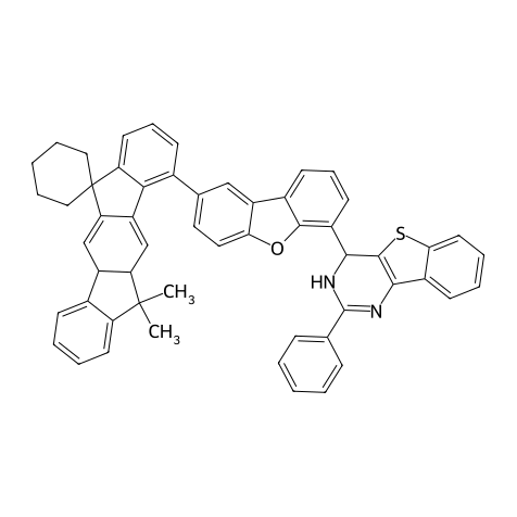 CC1(C)c2ccccc2C2C=C3C(=CC21)c1c(-c2ccc4oc5c(C6NC(c7ccccc7)=Nc7c6sc6ccccc76)cccc5c4c2)cccc1C31CCCCC1